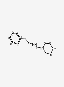 c1ccc(CCNCN2CCCCC2)cc1